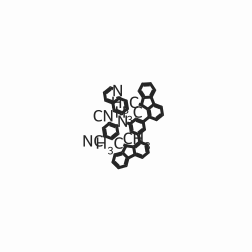 CC1(C)c2ccccc2-c2cccc(-c3cc(-c4cccc5c4C(C)(C)c4ccccc4-5)cc(N(c4ccc5ncccc5c4)c4ccc(C#N)cc4C#N)c3)c21